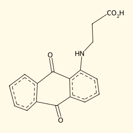 O=C(O)CCNc1cccc2c1C(=O)c1ccccc1C2=O